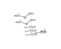 CC(=O)O.CC(=O)O.CC(=O)O.CC(=O)O.CCCCCCC[CH2][Sn][CH2]CCCCCCC.CCCCCCC[CH2][Sn][CH2]CCCCCCC.O